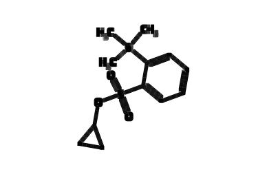 C[Si](C)(C)c1ccccc1S(=O)(=O)OC1CC1